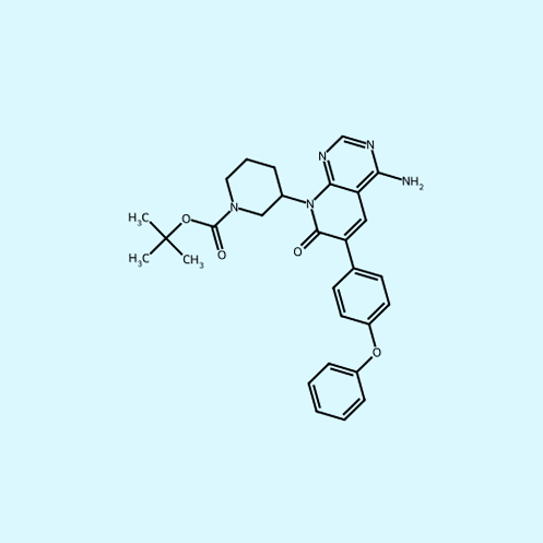 CC(C)(C)OC(=O)N1CCCC(n2c(=O)c(-c3ccc(Oc4ccccc4)cc3)cc3c(N)ncnc32)C1